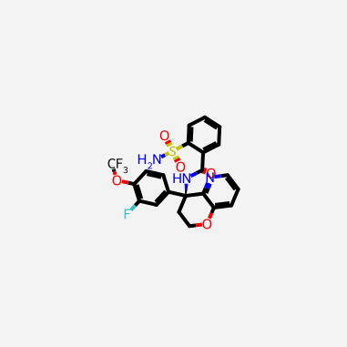 NS(=O)(=O)c1ccccc1C(=O)N[C@]1(c2ccc(OC(F)(F)F)c(F)c2)CCOc2cccnc21